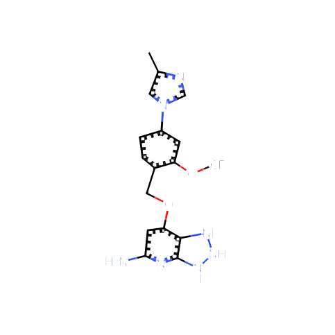 Cc1cn(-c2ccc(COc3cc(N)nc4c3NNN4)c(OC(F)(F)F)c2)cn1